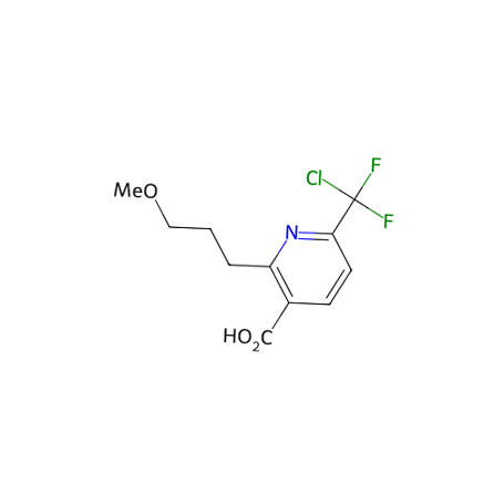 COCCCc1nc(C(F)(F)Cl)ccc1C(=O)O